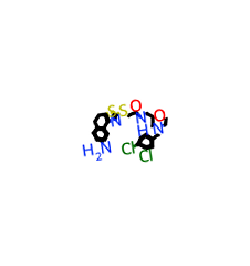 Nc1ccc2c(c1)-c1nc(SCC(=O)NCC3CN(Cc4ccc(Cl)c(Cl)c4)CCO3)sc1CC2